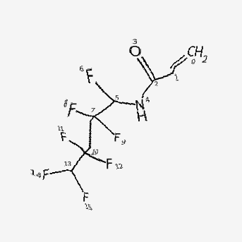 C=CC(=O)NC(F)C(F)(F)C(F)(F)C(F)F